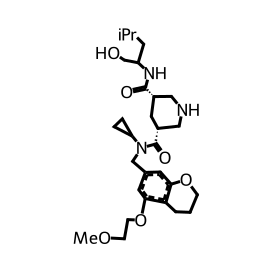 COCCOc1cc(CN(C(=O)[C@H]2CNC[C@@H](C(=O)NC(CO)CC(C)C)C2)C2CC2)cc2c1CCCO2